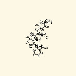 C=Cc1ccccc1NC(=O)C(NC(=O)C(N)Cc1ccc(O)cc1)C(C)C